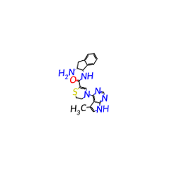 Cc1c[nH]c2ncnc(N3C=C(C(=O)N[C@H]4c5ccccc5C[C@H]4N)SCC3)c12